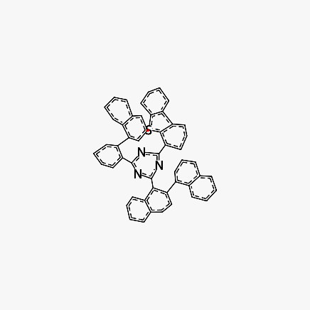 c1ccc(-c2cccc3ccccc23)c(-c2nc(-c3c(-c4cccc5ccccc45)ccc4ccccc34)nc(-c3cccc4c3sc3ccccc34)n2)c1